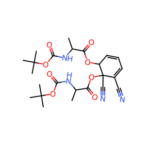 CC(NC(=O)OC(C)(C)C)C(=O)OC1C=CC=C(C#N)C1(C#N)OC(=O)C(C)NC(=O)OC(C)(C)C